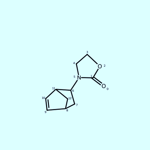 O=C1OCCN1C1CC2C=CC1C2